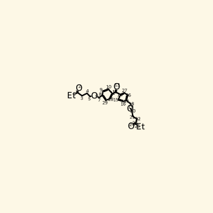 CCC(=O)CCCOCc1ccc(C(=O)c2ccc(COCCCC(=O)CC)cc2)cc1